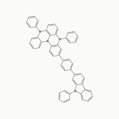 c1ccc(N2c3ccccc3B3c4ccc(-c5ccc(-c6ccc7c8ccccc8n(-c8ccccc8)c7c6)cc5)cc4N(c4ccccc4)c4cccc2c43)cc1